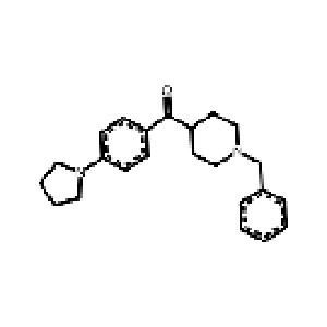 O=C(c1ccc(N2CCCC2)cc1)C1CCN(Cc2ccccc2)CC1